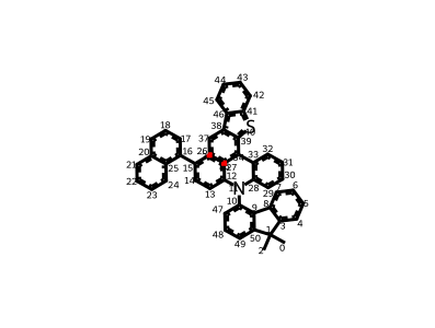 CC1(C)c2ccccc2-c2c(N(c3ccc(-c4cccc5ccccc45)cc3)c3ccccc3-c3cccc4c3sc3ccccc34)cccc21